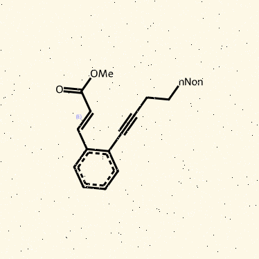 CCCCCCCCCCCC#Cc1ccccc1/C=C/C(=O)OC